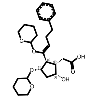 O=C(O)C[C@H]1[C@H](C(=CCCc2ccccc2)OC2CCCCO2)[C@@H](OC2CCCCO2)C[C@H]1O